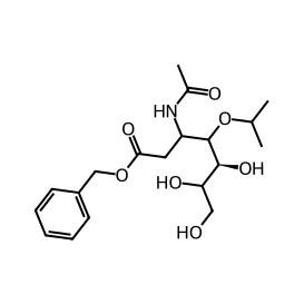 CC(=O)NC(CC(=O)OCc1ccccc1)C(OC(C)C)[C@@H](O)C(O)CO